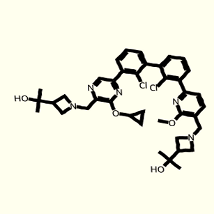 COc1nc(-c2cccc(-c3cccc(-c4cnc(CN5CC(C(C)(C)O)C5)c(OC5CC5)n4)c3Cl)c2Cl)ccc1CN1CC(C(C)(C)O)C1